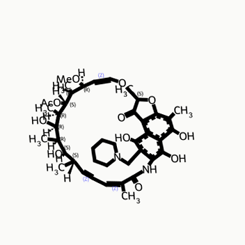 CO[C@H]1/C=C\O[C@@]2(C)Oc3c(C)c(O)c4c(O)c(c(CN5CCCCC5)c(O)c4c3C2=O)NC(=O)/C(C)=C\C=C/[C@H](C)[C@H](O)[C@@H](C)[C@@H](O)[C@@H](C)[C@H](OC(C)=O)[C@@H]1C